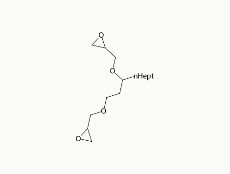 CCCCCCCC(CCOCC1CO1)OCC1CO1